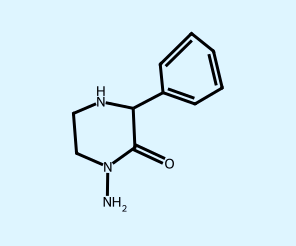 NN1CCNC(c2ccccc2)C1=O